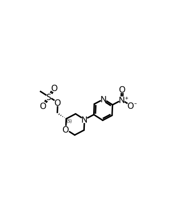 CS(=O)(=O)OC[C@@H]1CN(c2ccc([N+](=O)[O-])nc2)CCO1